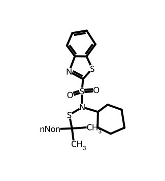 CCCCCCCCCC(C)(C)SN(C1CCCCC1)S(=O)(=O)c1nc2ccccc2s1